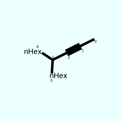 CC#CC(CCCCCC)CCCCCC